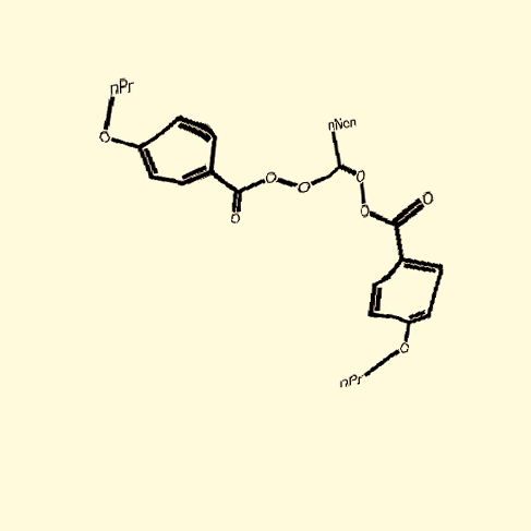 [CH2]CCCCCCCC[C](OOC(=O)c1ccc(OCCC)cc1)OOC(=O)c1ccc(OCCC)cc1